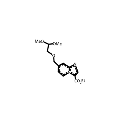 CCOC(=O)c1cnc2cc(COCC(OC)OC)ccn12